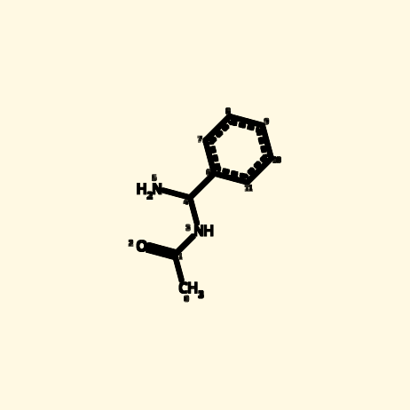 CC(=O)NC(N)c1ccccc1